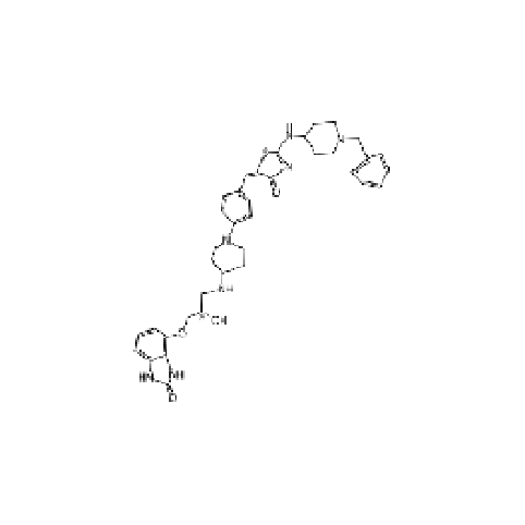 O=C1N=C(NC2CCN(Cc3ccccc3)CC2)SC1=Cc1ccc(N2CCC(NC[C@H](O)COc3cccc4[nH]c(=O)[nH]c34)CC2)cc1